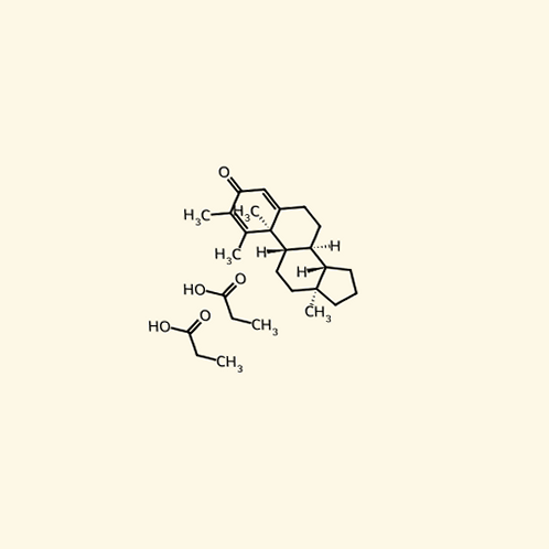 CC1=C(C)[C@@]2(C)C(=CC1=O)CC[C@H]1[C@@H]3CCC[C@@]3(C)CC[C@@H]12.CCC(=O)O.CCC(=O)O